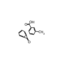 Cc1cccc(C(=O)O)c1.O=c1c2ccccc12